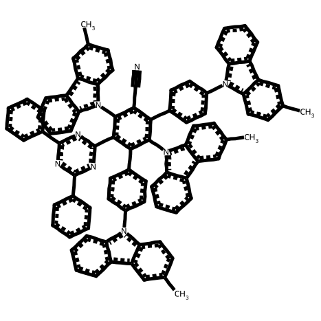 Cc1ccc2c(c1)c1ccccc1n2-c1ccc(-c2c(C#N)c(-n3c4ccccc4c4cc(C)ccc43)c(-c3nc(-c4ccccc4)nc(-c4ccccc4)n3)c(-c3ccc(-n4c5ccccc5c5cc(C)ccc54)cc3)c2-n2c3ccccc3c3cc(C)ccc32)cc1